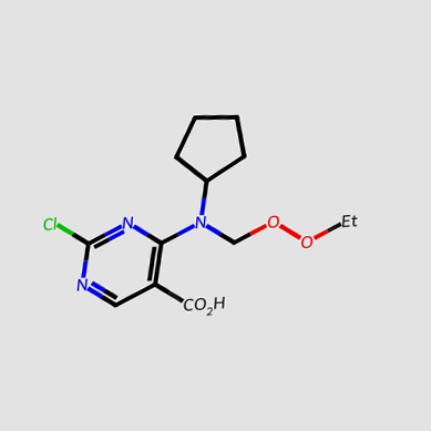 CCOOCN(c1nc(Cl)ncc1C(=O)O)C1CCCC1